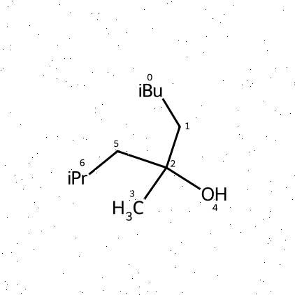 CCC(C)CC(C)(O)CC(C)C